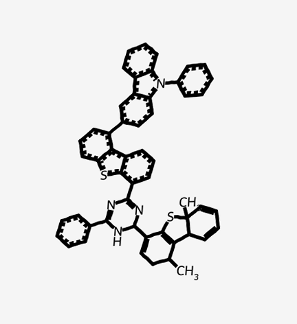 CC1CC=C(C2N=C(c3cccc4c3sc3cccc(-c5ccc6c(c5)c5ccccc5n6-c5ccccc5)c34)N=C(c3ccccc3)N2)C2=C1C1C=CC=CC1(C)S2